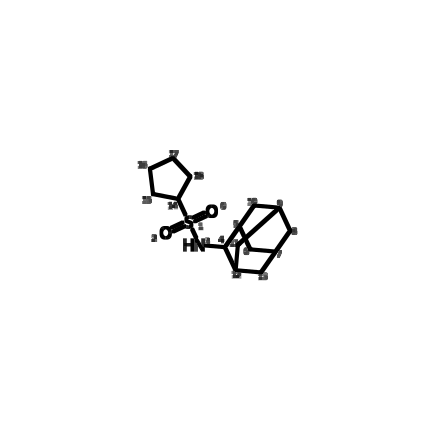 O=S(=O)(NC1C2CC3CC(C2)CC1C3)C1CCCC1